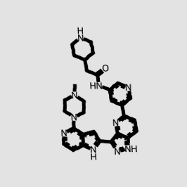 CN1CCN(c2nccc3[nH]c(-c4n[nH]c5ccc(-c6cncc(NC(=O)CC7CCNCC7)c6)nc45)cc23)CC1